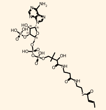 CC=CC(=O)SCCNC(=O)CCNC(=O)C(O)C(C)(C)COP(=O)(O)OP(=O)(O)OC[C@H]1O[C@@H](n2cnc3c(N)ncnc32)[C@H](O)[C@@H]1OP(=O)(O)O